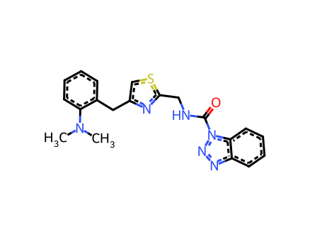 CN(C)c1ccccc1Cc1csc(CNC(=O)n2nnc3ccccc32)n1